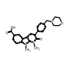 Cn1c(=O)c(-c2ccc(CN3CCOCC3)cc2)cc2c3cc(C(=O)O)ccc3n(C)c21